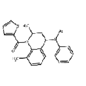 CC(=O)N(c1ccccc1)C1CC(C)N(C(=O)c2ccco2)c2c(C)cccc21